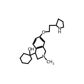 CN1Cc2cc(OCCC3CCCN3)ccc2C(C2(O)CCCCC2)C1